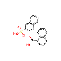 O=C(O)c1cccc2ccccc12.O=S(=O)(O)c1ccc2ccccc2c1